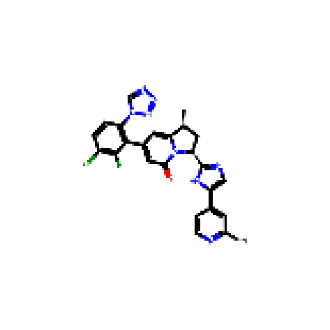 C[C@H]1C[C@@H](c2ncc(-c3ccnc(C#N)c3)[nH]2)n2c1cc(-c1c(-n3cnnn3)ccc(Cl)c1F)cc2=O